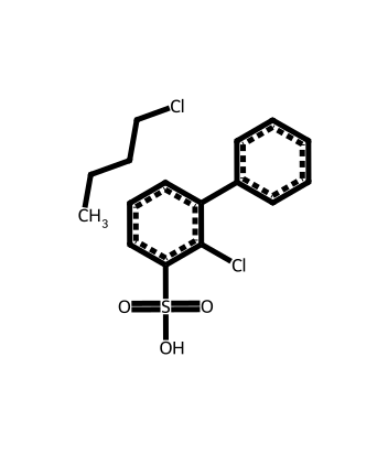 CCCCCl.O=S(=O)(O)c1cccc(-c2ccccc2)c1Cl